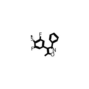 CSc1c(F)cc(-c2c(-c3ccccc3)noc2C)cc1F